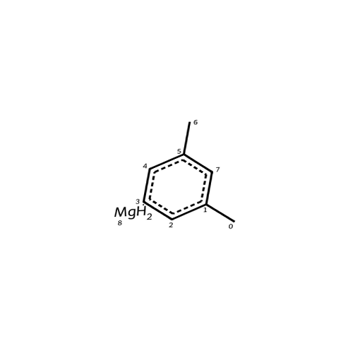 Cc1c[c]cc(C)c1.[MgH2]